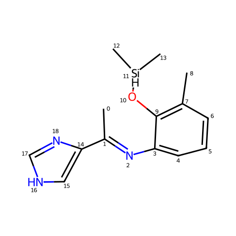 CC(=Nc1cccc(C)c1O[SiH](C)C)c1c[nH]cn1